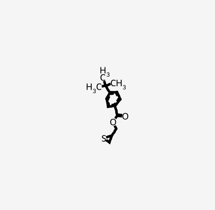 CC(C)(C)c1ccc(C(=O)OCC2CS2)cc1